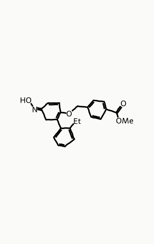 CCc1ccccc1C1=C(OCc2ccc(C(=O)OC)cc2)C=CC(=NO)C1